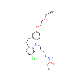 C#CCOCCOc1ccc2c(c1)CCc1ccc(Cl)cc1N2CCCCNC(=O)OC(C)(C)C